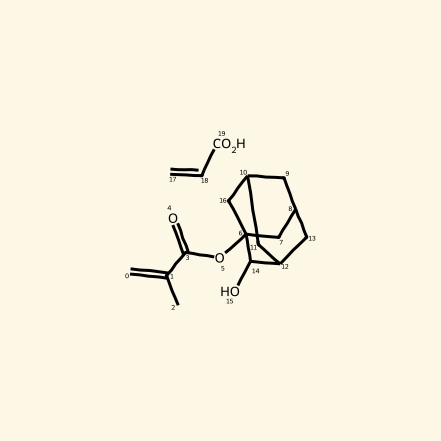 C=C(C)C(=O)OC12CC3CC(CC(C3)C1O)C2.C=CC(=O)O